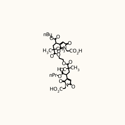 CCCCOC(=O)C(CC(C)(C)C(=O)OCCOC(=O)C(C)(C)CC(C(=O)OCCC)C1=CC(=O)N(CC(=O)O)C1=O)C1=CC(=O)N(CC(=O)O)C1=O